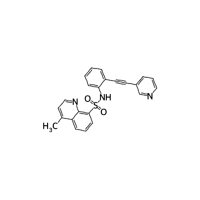 Cc1ccnc2c(S(=O)(=O)Nc3ccccc3C#Cc3cccnc3)cccc12